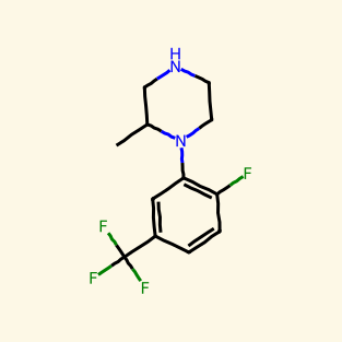 CC1CNCCN1c1cc(C(F)(F)F)ccc1F